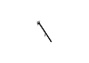 CCCCCCCCCC(F)C[CH]CCCCCCCCCCCC(F)(F)F